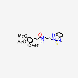 COc1cc(/C=C/C(=O)NCCCCNC(=S)N(C)c2ccccc2)cc(OC)c1OC